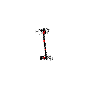 CC(C)O[Si](OC(C)C)(OC(C)C)[SiH2]CCCCCCCCCCCCSSCCCCCCCCCCCC[SiH2][Si](OC(C)C)(OC(C)C)OC(C)C